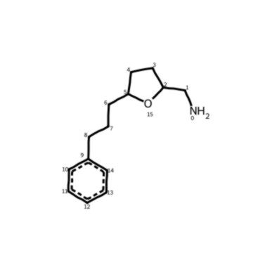 NCC1CCC(CCCc2ccccc2)O1